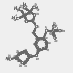 CC1(C)OB(OCc2cc(Oc3ccc(C#N)cc3)ccc2OS(=O)(=O)C(F)(F)F)OC1(C)C